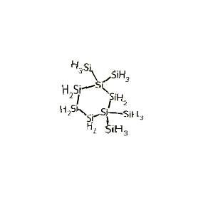 [SiH3][Si]1([SiH3])[SiH2][SiH2][SiH2][Si]([SiH3])([SiH3])[SiH2]1